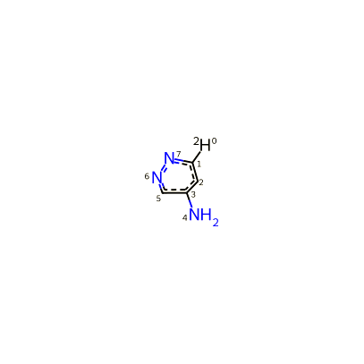 [2H]c1cc(N)cnn1